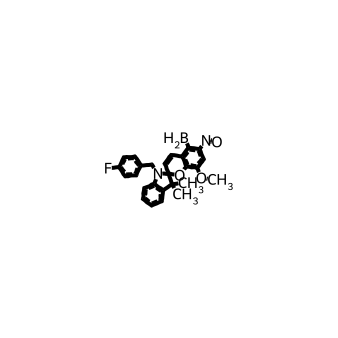 Bc1c(N=O)cc(OC)c2c1C=CC1(O2)N(Cc2ccc(F)cc2)c2ccccc2C1(C)C